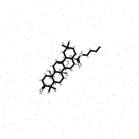 CCCCOC(=O)[C@]12CCC(C)(C)CC1C1=CCC3[C@@]4(C)CCC(=O)C(C)(C)C4CC[C@@]3(C)[C@]1(C)CC2